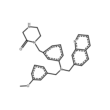 COc1cccc(CN(Cc2ccc3cccnc3c2)c2cccc(CN3CCNCC3=O)c2)c1